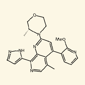 COc1ncccc1-c1cc(N2CCOC[C@H]2C)nc2c(-c3ccn[nH]3)ncc(C)c12